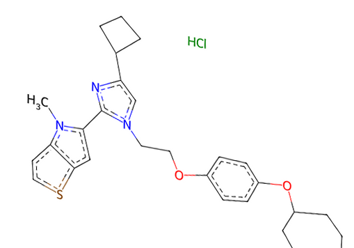 Cl.Cn1c(-c2nc(C3CCC3)cn2CCOc2ccc(OC3CCCNCC3)cc2)cc2sccc21